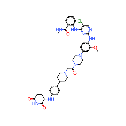 CNC(=O)c1ccccc1Nc1nc(Nc2ccc(N3CCN(C(=O)CN4CCC(c5ccc(NC6CCC(=O)NC6=O)cc5)CC4)CC3)cc2OC)ncc1Cl